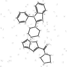 O=C(C1=CC2=CC=C[N@@+]2(N2CCN(c3nc4ccccc4n3-c3ccccn3)CC2)C1)N1CCSC1